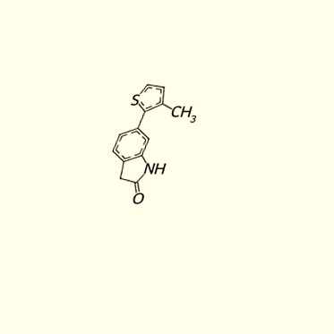 Cc1ccsc1-c1ccc2c(c1)NC(=O)C2